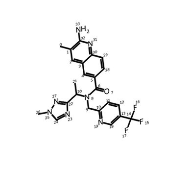 Cc1cc2cc(C(=O)N(Cc3ccc(C(F)(F)F)cn3)C(C)c3ncn(C)n3)ccc2nc1N